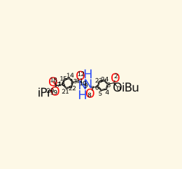 CC(C)COC(=O)c1ccc(C(=O)NNC(=O)c2ccc(C(=O)OC(C)C)cc2)cc1